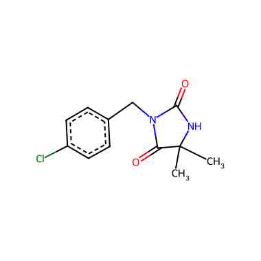 CC1(C)NC(=O)N(Cc2ccc(Cl)cc2)C1=O